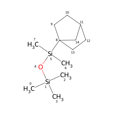 C[Si](C)(C)O[Si](C)(C)C12CCC(CC1)C2